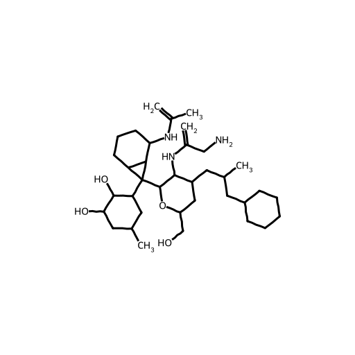 C=C(C)NC1CCCC2C1C2(C1CC(C)CC(O)C1O)C1OC(CO)CC(CC(C)CC2CCCCC2)C1NC(=C)CN